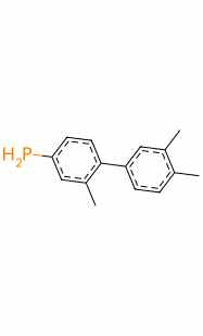 Cc1ccc(-c2ccc(P)cc2C)cc1C